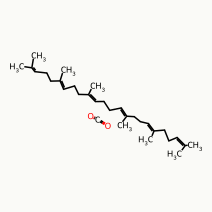 CC(C)=CCC/C(C)=C/CC/C(C)=C/CC/C=C(\C)CC/C=C(\C)CCC=C(C)C.O=C=O